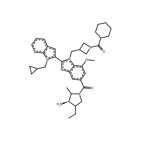 CCC1CN(C(=O)c2cc(OC)c3c(c2)nc(-c2cc4cccnc4n2CC2CC2)n3CC2CN(C(=O)C3CCCCC3)C2)C(C)[C@@H]1N